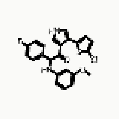 COc1cccc(NC(C(=O)c2c[nH]cc2-c2ccc(Cl)s2)c2ccc(F)cc2)c1